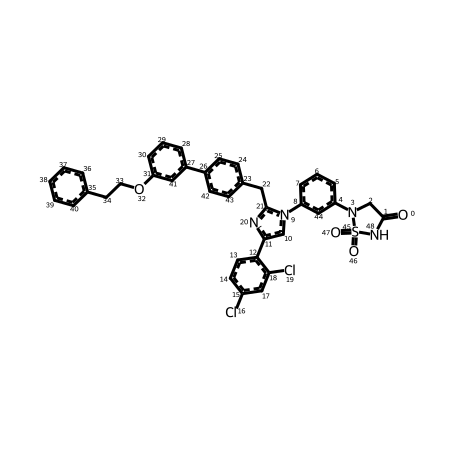 O=C1CN(c2cccc(-n3cc(-c4ccc(Cl)cc4Cl)nc3Cc3ccc(-c4cccc(OCCc5ccccc5)c4)cc3)c2)S(=O)(=O)N1